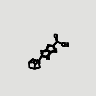 O=C(O)c1cc2sc(N3CC4CC(C3)O4)nc2s1